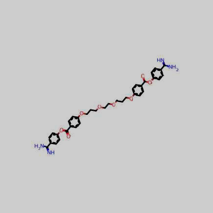 N=C(N)c1ccc(OC(=O)c2ccc(OCCCOCCOCCCOc3ccc(C(=O)Oc4ccc(C(=N)N)cc4)cc3)cc2)cc1